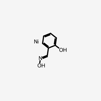 ON=Cc1ccccc1O.[Ni]